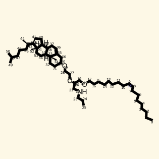 CCCCCCCC/C=C\CCCCCCCCOCC(CNCCC)OCCO[C@H]1CC[C@@]2(C)C(=CC[C@H]3[C@@H]4CC[C@H]([C@H](C)CCCC(C)C)[C@@]4(C)CC[C@@H]32)C1